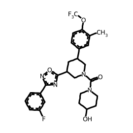 Cc1cc(C2CC(c3nc(-c4cccc(F)c4)no3)CN(C(=O)N3CCC(O)CC3)C2)ccc1OC(F)(F)F